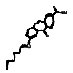 CCCCCCOc1ccc2c(c1)C(=O)c1ccc(C(=O)O)cc1CC2